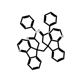 O=C(CC1(CC2(CC(=O)Oc3ccccc3)c3ccccc3-c3ncccc32)c2ccccc2-c2ncccc21)Oc1ccccc1